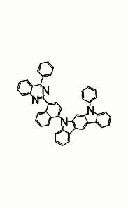 c1ccc(-c2nc(-c3ccc(-n4c5ccccc5c5cc6c7ccccc7n(-c7ccccc7)c6cc54)c4ccccc34)nc3ccccc23)cc1